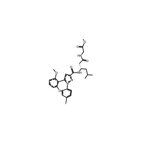 COC(=O)CNC(=O)C[C@H](CC(C)C)NC(=O)c1cc(-c2c(O)cccc2OC)n(C2=C=C=C(F)C=C2)n1